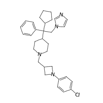 Clc1ccc(N2CC(CN3CCC(C(Cn4ccnc4)(c4ccccc4)C4CCCC4)CC3)C2)cc1